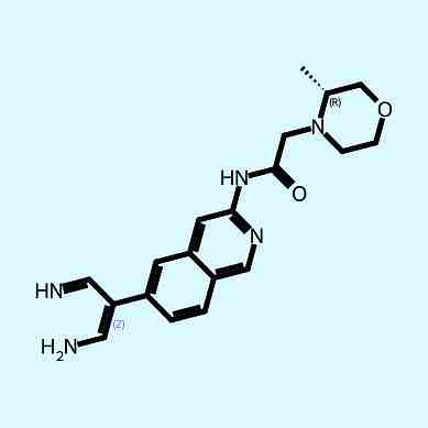 C[C@@H]1COCCN1CC(=O)Nc1cc2cc(/C(C=N)=C/N)ccc2cn1